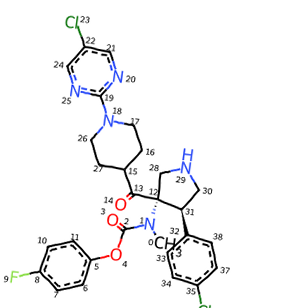 CN(C(=O)Oc1ccc(F)cc1)[C@]1(C(=O)C2CCN(c3ncc(Cl)cn3)CC2)CNC[C@H]1c1ccc(Cl)cc1